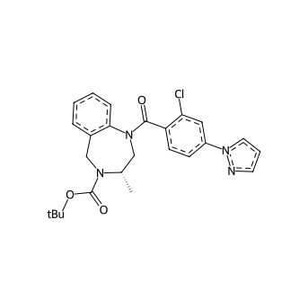 C[C@H]1CN(C(=O)c2ccc(-n3cccn3)cc2Cl)c2ccccc2CN1C(=O)OC(C)(C)C